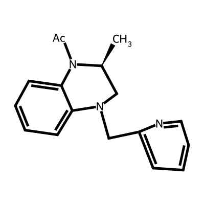 CC(=O)N1c2ccccc2N(Cc2ccccn2)C[C@@H]1C